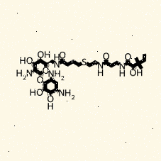 CCC(C)(C)[C@@H](O)C(=O)NCCC(=O)NCCSCCCC(=O)NC[C@H]1O[C@H](O[C@H]2[C@H](O)[C@@H](O)[C@H](N)C[C@@H]2N)[C@H](N)[C@@H](O)[C@@H]1O